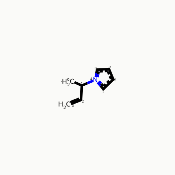 [CH2]C(C=C)n1cccc1